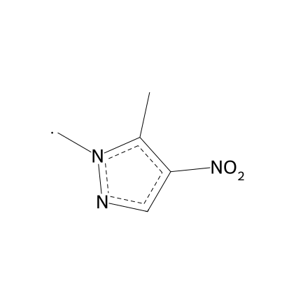 [CH2]n1ncc([N+](=O)[O-])c1C